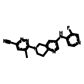 Cc1cc(C#N)nnc1N1CCc2ncc(Nc3ccncc3F)cc2C1